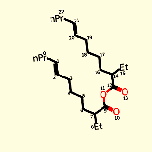 CCCC=CCCCCC(CC)C(=O)OC(=O)C(CC)CCCCC=CCCC